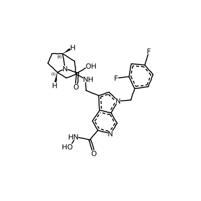 O=C(NO)c1cc2c(CNC3C[C@H]4CC[C@@H](C3)N4C(=O)O)cn(Cc3ccc(F)cc3F)c2cn1